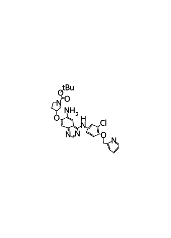 CC(C)(C)OC(=O)N1CCC(Oc2cc3ncnc(Nc4ccc(OCc5ccccn5)c(Cl)c4)c3cc2N)C1